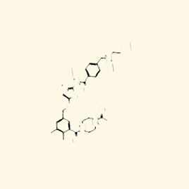 CC(=O)N1CCN(C(=O)c2cc(CSc3cnc(NC(=O)c4ccc(CNCCO)cc4)s3)cc(C)c2C)CC1